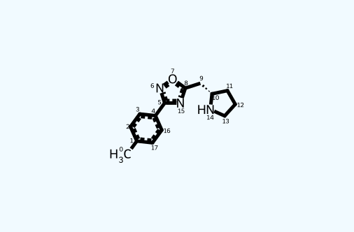 Cc1ccc(-c2noc(C[C@@H]3CCCN3)n2)cc1